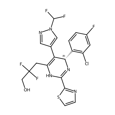 OCC(F)(F)CC1=C(c2cnn(C(F)F)c2)[C@H](c2ccc(F)cc2Cl)N=C(c2nccs2)N1